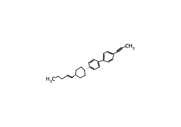 CC#Cc1ccc(-c2ccc([C@H]3CC[C@H](/C=C/CCC)CC3)cc2)cc1